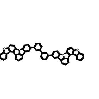 c1cc(-c2cccc(-c3ccc4c(c3)c3cccc5c6c7c(ccc6n4c35)oc3ccccc37)c2)cc(-c2ccc3c(c2)c2cccc4c5c6c(ccc5n3c24)oc2ccccc26)c1